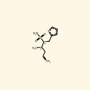 C=CC[C@@H](C)[C@H](Cc1cccs1)S(N)(=O)=O